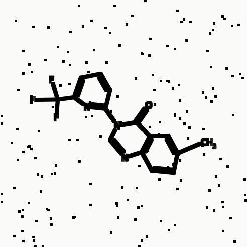 Cc1ccc2ncn(-c3cccc(C(F)(F)F)n3)c(=O)c2c1